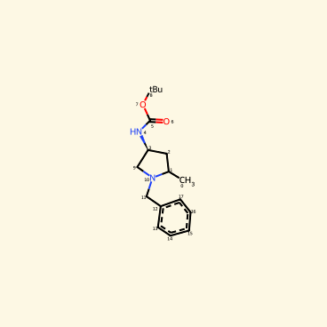 CC1C[C@H](NC(=O)OC(C)(C)C)CN1Cc1ccccc1